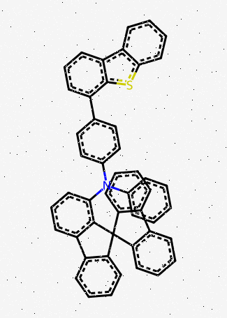 c1ccc(N(c2ccc(-c3cccc4c3sc3ccccc34)cc2)c2cccc3c2C2(c4ccccc4-c4ccccc42)c2ccccc2-3)cc1